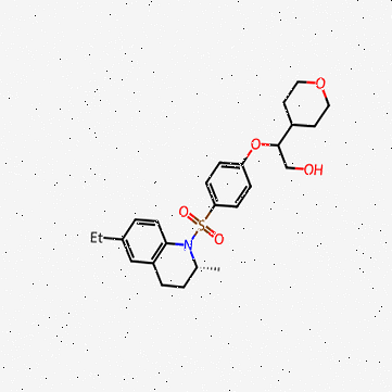 CCc1ccc2c(c1)CC[C@@H](C)N2S(=O)(=O)c1ccc(OC(CO)C2CCOCC2)cc1